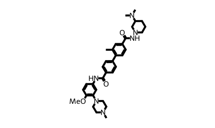 COc1ccc(NC(=O)c2ccc(-c3ccc(C(=O)NN4CCCC(N(C)C)C4)cc3C)cc2)cc1N1CCN(C)CC1